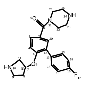 O=C(c1ccc(O[C@H]2CCNC2)c(-c2ccc(F)cc2)c1)N1CCNCC1